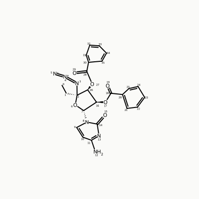 CC[C@@]1(N=[N+]=[N-])O[C@@H](n2ccc(N)nc2=O)[C@H](OC(=O)c2ccccc2)[C@@H]1OC(=O)c1ccccc1